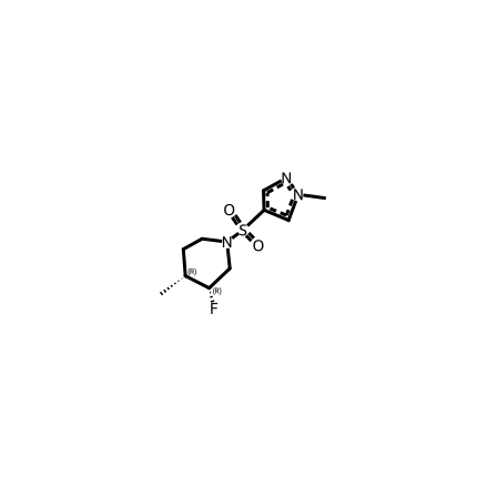 C[C@@H]1CCN(S(=O)(=O)c2cnn(C)c2)C[C@@H]1F